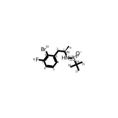 C[C@H](Cc1cccc(F)c1Br)N[S@+]([O-])C(C)(C)C